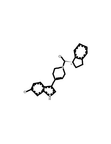 Clc1ccc2c(C3=CCN(C(Cl)[C@H]4CCc5ccccc54)CC3)c[nH]c2c1